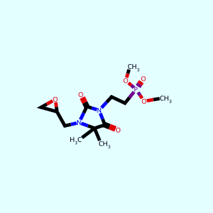 COP(=O)(CCN1C(=O)N(CC2CO2)C(C)(C)C1=O)OC